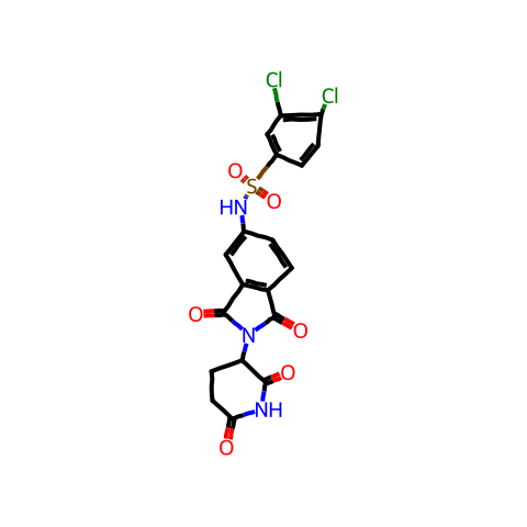 O=C1CCC(N2C(=O)c3ccc(NS(=O)(=O)c4ccc(Cl)c(Cl)c4)cc3C2=O)C(=O)N1